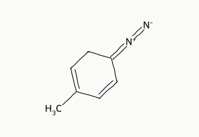 CC1=CCC(=[N+]=[N-])C=C1